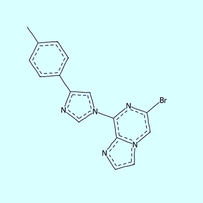 Cc1ccc(-c2cn(-c3nc(Br)cn4ccnc34)cn2)cc1